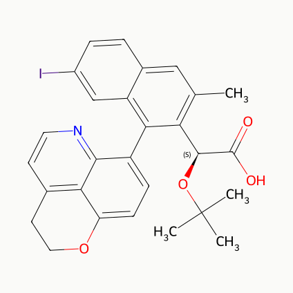 Cc1cc2ccc(I)cc2c(-c2ccc3c4c(ccnc24)CCO3)c1[C@H](OC(C)(C)C)C(=O)O